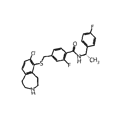 C[C@H](NC(=O)c1ccc(CSc2c(Cl)ccc3c2CCNCC3)cc1F)c1ccc(F)cc1